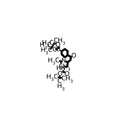 CC(C)n1c(CNC(=O)OC(C)(C)C)cc(=O)c2ccc(B3OC(C)(C)C(C)(C)O3)cc21